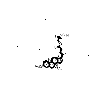 CC(=O)O[C@@H]1CC[C@@]2(C)C(C1)C[C@@H](OC(C)=O)[C@H]1[C@@H]3CC[C@H]([C@H](C)CCC(=O)OCC(F)(F)S(=O)(=O)O)[C@@]3(C)CC[C@@H]12